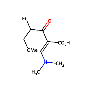 CCC(COC)C(=O)C(=CN(C)C)C(=O)O